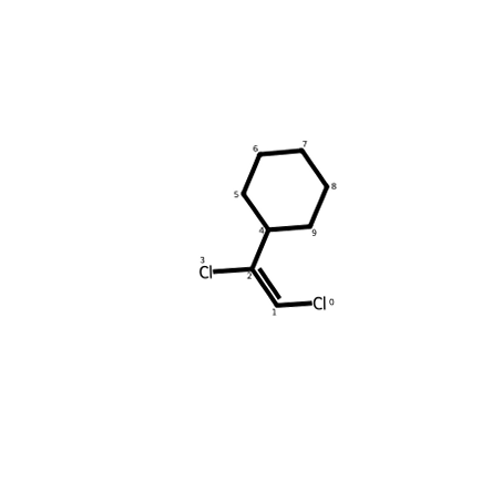 Cl/C=C(/Cl)C1CCCCC1